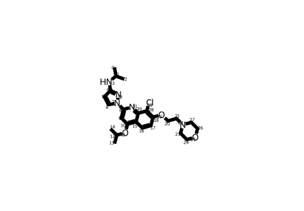 CC(C)Nc1ccn(-c2cc(OC(C)C)c3ccc(OCCN4CCOCC4)c(Cl)c3n2)n1